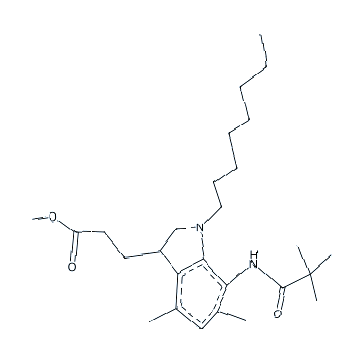 CCCCCCCCN1CC(CCC(=O)OC)c2c(C)cc(C)c(NC(=O)C(C)(C)C)c21